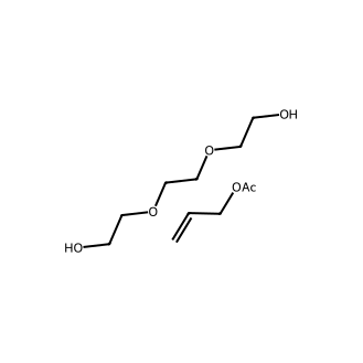 C=CCOC(C)=O.OCCOCCOCCO